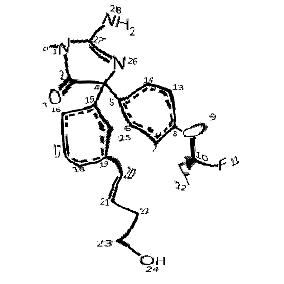 CN1C(=O)C(c2ccc(OC(F)F)cc2)(c2cccc(C=CCCO)c2)N=C1N